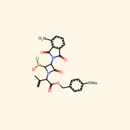 C=C(C)C(C(=O)OCc1ccc(OC)cc1)N1C(=O)C(N2C(=O)c3cccc([N+](=O)[O-])c3C2=O)C1[S+]([O-])Cl